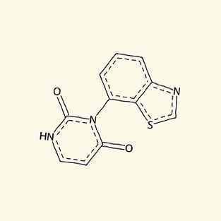 O=c1cc[nH]c(=O)n1-c1cccc2ncsc12